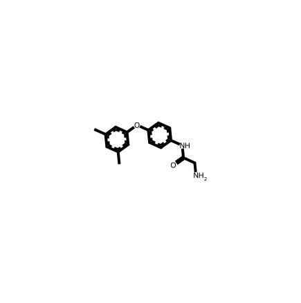 Cc1cc(C)cc(Oc2ccc(NC(=O)CN)cc2)c1